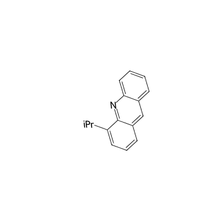 CC(C)c1cccc2cc3ccccc3nc12